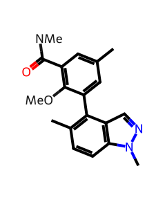 CNC(=O)c1cc(C)cc(-c2c(C)ccc3c2cnn3C)c1OC